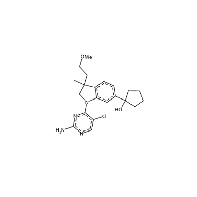 COCCC1(C)CN(c2nc(N)ncc2Cl)c2cc(C3(O)CCCC3)ccc21